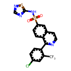 O=S(=O)(Nc1ncns1)c1ccc2c(-c3ccc(Cl)cc3C(F)(F)F)nccc2c1